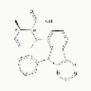 C[C@@H]1C=CCN(c2cccc3c2C(c2ccccc2)c2ccccc2-3)[C@H]1C(=O)O